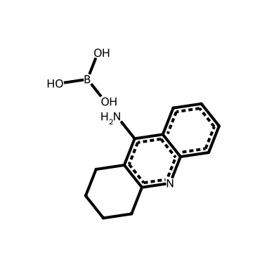 Nc1c2c(nc3ccccc13)CCCC2.OB(O)O